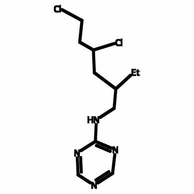 CCC(CNc1ncncn1)CC(Cl)CCCl